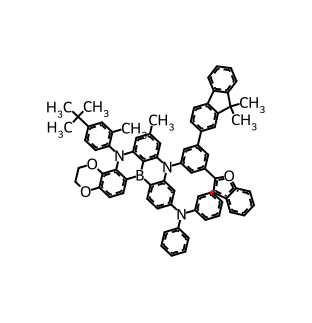 Cc1cc2c3c(c1)N(c1ccc(C(C)(C)C)cc1C)c1c(ccc4c1OCCO4)B3c1ccc(N(c3ccccc3)c3ccccc3)cc1N2c1cc(-c2ccc3c(c2)C(C)(C)c2ccccc2-3)cc(-c2cc3ccccc3o2)c1